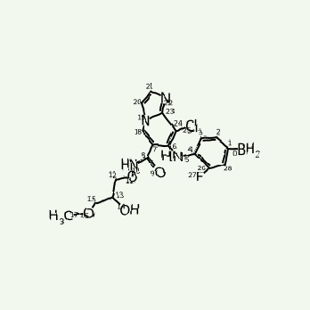 Bc1ccc(Nc2c(C(=O)NOCC(O)COC)cn3ccnc3c2Cl)c(F)c1